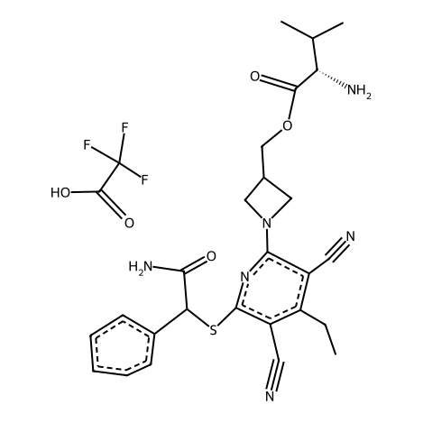 CCc1c(C#N)c(SC(C(N)=O)c2ccccc2)nc(N2CC(COC(=O)[C@@H](N)C(C)C)C2)c1C#N.O=C(O)C(F)(F)F